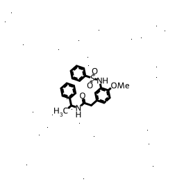 COc1ccc(CC(=O)NC(C)c2ccccc2)cc1NS(=O)(=O)c1ccccc1